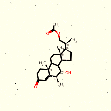 CC(=O)OC[C@@H](C)[C@H]1CCC2C3C(CC[C@@]21C)[C@@]1(C)CCC(=O)C=C1[C@H](C)[C@H]3O